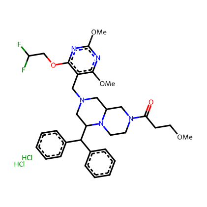 COCCC(=O)N1CCN2C(CN(Cc3c(OC)nc(OC)nc3OCC(F)F)CC2C(c2ccccc2)c2ccccc2)C1.Cl.Cl